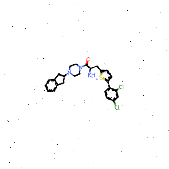 NC(Cc1ccc(-c2ccc(Cl)cc2Cl)s1)C(=O)N1CCN(C2Cc3ccccc3C2)CC1